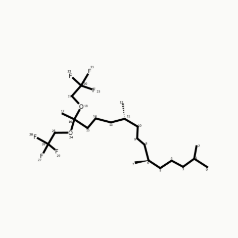 CC(C)CCC[C@@H](C)CCC[C@@H](C)CCCC(C)(OCC(F)(F)F)OCC(F)(F)F